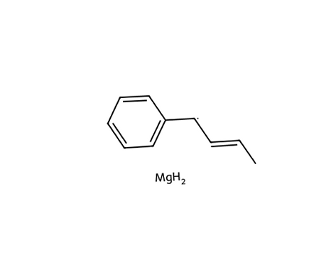 C/C=C/[CH]c1ccccc1.[MgH2]